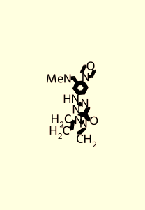 C=CCn1c(=O)c2cnc(Nc3ccc(N4CCOCC4)c(CNC)c3)nc2n1C(=C)C=C